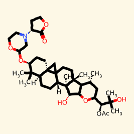 CC(=O)O[C@@H](C1C[C@@H](C)C2C(O1)[C@H](O)[C@@]1(C)[C@@H]3CC[C@H]4C(C)(C)[C@@H](OC5CN([C@@H]6CCOC6=O)CCO5)CC[C@@]45CC35CC[C@]21C)C(C)(C)O